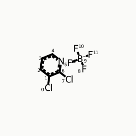 Clc1cccnc1Cl.F[B-](F)(F)F